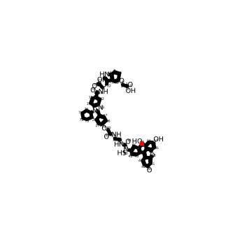 O=C(O)COc1ccc2[nH]cc(C[C@H](NC(=O)c3ccc4c(c3)nc(-c3ccc(OCC(=O)NCCNC(=O)N(S)c5ccc(-c6c7ccc(=O)cc-7oc7cc(O)ccc67)c(C(=O)O)c5)cc3)n4C3CCCCC3)C(=O)O)c2c1